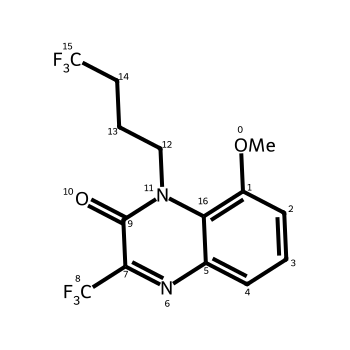 COc1cccc2nc(C(F)(F)F)c(=O)n(CCCC(F)(F)F)c12